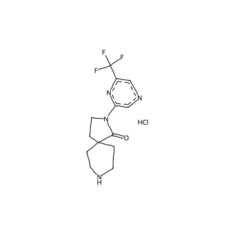 Cl.O=C1N(c2cncc(C(F)(F)F)n2)CCC12CCNCC2